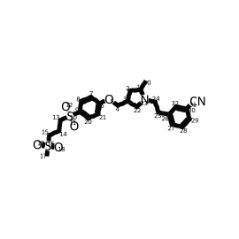 CC1CC(COc2ccc(S(=O)(=O)CCCS(C)(=O)=O)cc2)CN1CCc1cccc(C#N)c1